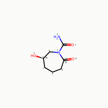 NC(=O)N1C[C@H](O)CC[CH]C1=O